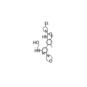 CC[C@@H]1CCN(C(=O)Nc2cc(-c3cc(N[C@H](C)CO)nc(N4CCOCC4)c3)c(C)cc2F)C1